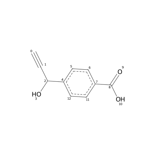 C#CC(O)c1ccc(C(=O)O)cc1